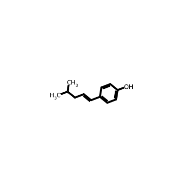 C[C](C)CC=Cc1ccc(O)cc1